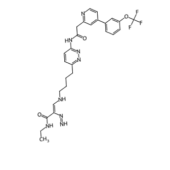 CCNC(=O)/C(=C/NCCCCc1ccc(NC(=O)Cc2cc(-c3cccc(OC(F)(F)F)c3)ccn2)nn1)N=N